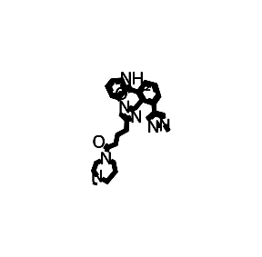 CN1CCCN(C(=O)CCCc2cn(-c3ccccc3)c(-c3c(C(N)=O)cccc3-c3cnn(C)c3)n2)CC1